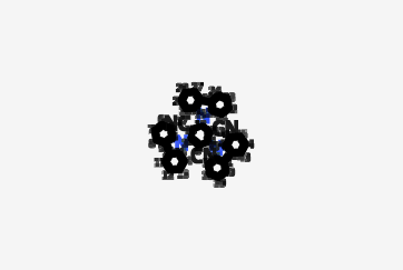 N#CC1=C(n2c3ccccc3c3ccccc32)C(C#N)C(n2c3ccccc3c3ccccc32)C(C#N)=C1n1c2ccccc2c2ccccc21